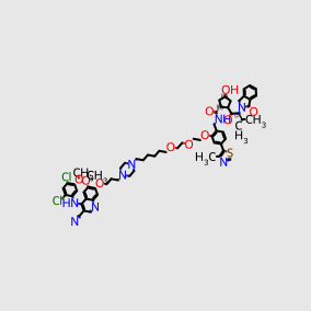 COc1cc(Nc2c(C#N)cnc3cc(OCCCN4CCN(CCCCCCOCCOCCOc5cc(-c6scnc6C)ccc5CNC(=O)[C@@H]5C[C@@H](O)CC5C(=O)[C@H](C(C)C)N5Cc6ccccc6C5=O)CC4)c(OC)cc23)c(Cl)cc1Cl